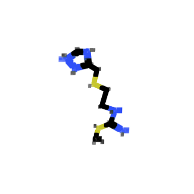 CSC(=N)NCCSCc1nc[nH]n1